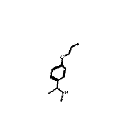 CCCOc1ccc(C(C)NC)cc1